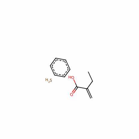 C=C(CC)C(=O)O.S.c1ccccc1